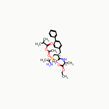 C=C(N[C@@H](C)C(=O)OCC)[C@H](Cc1ccc(-c2ccccc2)cc1)CP(=O)(OC(C)OC(=O)C(C)C)[C@H](C)N